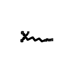 CCCCCCCCCCS(=O)(=O)F